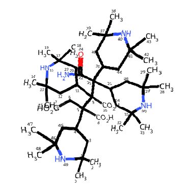 CC1(C)CC(C(CC(=O)O)(C(=O)O)C(C(=O)O)(C2CC(C)(C)NC(C)(C)C2)C(C(N)=O)(C2CC(C)(C)NC(C)(C)C2)C2CC(C)(C)NC(C)(C)C2)CC(C)(C)N1